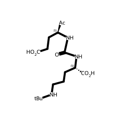 CC(=O)[C@H](CCC(=O)O)NC(=O)N[C@@H](CCCNC(C)(C)C)C(=O)O